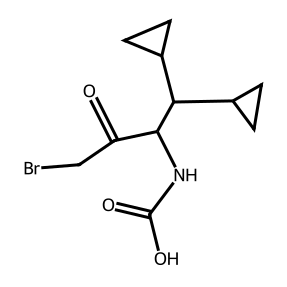 O=C(O)NC(C(=O)CBr)C(C1CC1)C1CC1